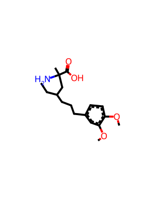 CCC(CCCc1ccc(OC)c(OC)c1)CC(C)(N)C(=O)O